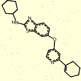 C1=C(c2cc(Oc3ccc4nc(NC5CCCCC5)sc4c3)ccn2)CCCC1